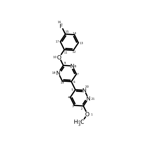 COc1ccc(-c2cnc(Oc3cccc(F)c3)nc2)nn1